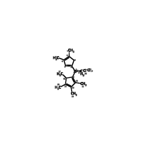 [CH2]=[Zr+2]([C]1=CC(C)=C(C)C1)[C]1=C(C)C(C)=C(C)C1C.[Cl-].[Cl-]